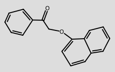 O=C(COc1cccc2ccccc12)c1ccccc1